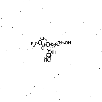 Cl.Cl.O=C(CN1CCN(C(=O)c2cc(C(F)(F)F)cc(C(F)(F)F)c2)[C@H](Cc2c[nH]c3ccccc23)C1)N1CCN(CCO)CC1